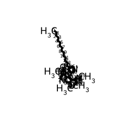 CCCCCCCCCCCCCCOc1cncc(F)c1-n1c(=O)n(C)c2cnc3cc(OC)c(-c4cn(C)nc4C)cc3c21